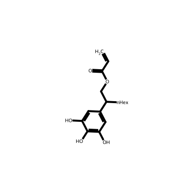 C=CC(=O)OCC(CCCCCC)c1cc(O)c(O)c(O)c1